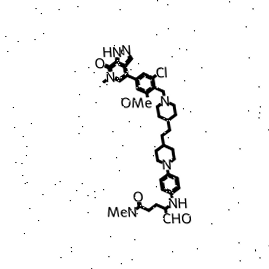 CNC(=O)CCC(C=O)Nc1ccc(N2CCC(CCC3CCN(Cc4c(Cl)cc(-c5cn(C)c(=O)c6[nH]ncc56)cc4OC)CC3)CC2)cc1